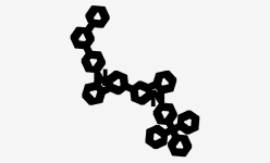 c1ccc(-c2cccc(-c3ccc(-n4c5ccccc5c5cc(-c6ccc7c(c6)c6ccccc6n7-c6ccc(C(c7ccccc7)(c7ccccc7)c7ccccc7)cc6)ccc54)cc3)c2)cc1